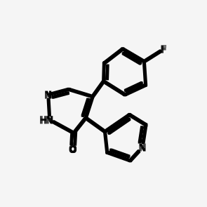 O=c1[nH]ncc(-c2ccc(F)cc2)c1-c1ccncc1